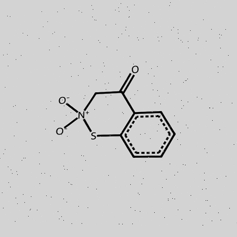 O=C1C[N+]([O-])([O-])Sc2ccccc21